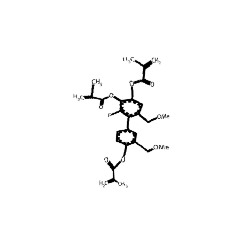 C=C(C)C(=O)Oc1ccc(-c2c(COC)cc(OC(=O)C(=C)C)c(OC(=O)C(=C)C)c2F)cc1COC